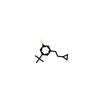 CC(C)(C)c1cc(F)cc(CCC2CC2)c1